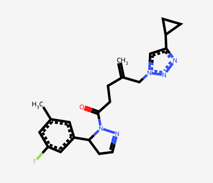 C=C(CCC(=O)N1N=CCC1c1cc(C)cc(F)c1)Cn1cc(C2CC2)nn1